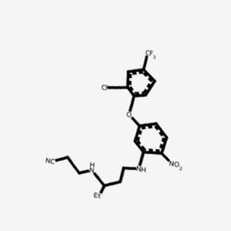 CCC(CCNc1cc(Oc2ccc(C(F)(F)F)cc2Cl)ccc1[N+](=O)[O-])NCCC#N